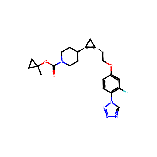 CC1(OC(=O)N2CCC([C@H]3C[C@@H]3CCOc3ccc(-n4cnnn4)c(F)c3)CC2)CC1